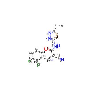 CCc1nnc(NC(=O)/C(C#N)=C\c2cccc(F)c2F)s1